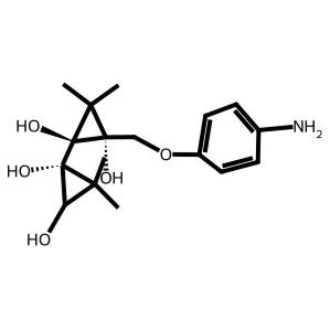 CC1(C)[C@@](O)([C@]2(O)C(O)C2(C)C)[C@]1(O)COc1ccc(N)cc1